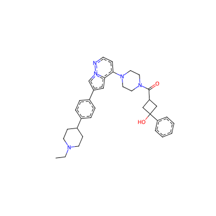 CCN1CCC(c2ccc(-c3cc4c(N5CCN(C(=O)C6CC(O)(c7ccccc7)C6)CC5)ccnn4c3)cc2)CC1